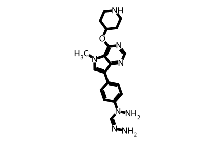 Cn1cc(-c2ccc(N(N)/C=N\N)cc2)c2ncnc(OC3CCNCC3)c21